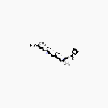 CC(C)=CCC/C(C)=C/CC/C(C)=C/CC/C(C)=C/COC(=O)c1ccccc1